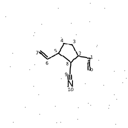 C=CC1CCC(C=C)C1C#N